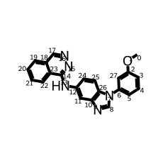 COc1cccc(-n2cnc3cc(Nc4nncc5ccccc45)ccc32)c1